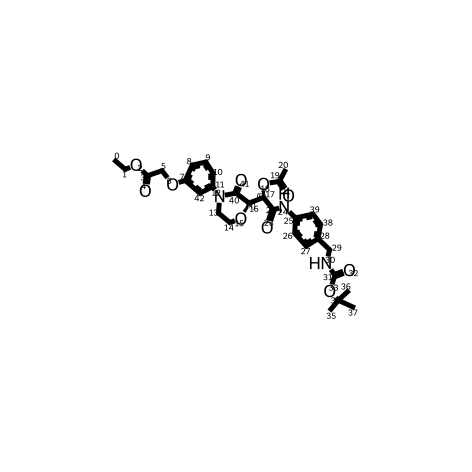 CCOC(=O)COc1cccc(N2CCO[C@H]([C@@H](OC(C)=O)C(=O)Nc3ccc(CNC(=O)OC(C)(C)C)cc3)C2=O)c1